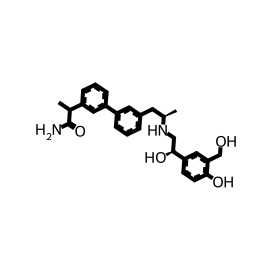 CC(C(N)=O)c1cccc(-c2cccc(C[C@@H](C)NC[C@H](O)c3ccc(O)c(CO)c3)c2)c1